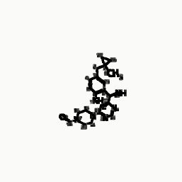 CC1(Cc2ccc(N)c(C(=N)c3cc(N4CCN(C=O)CC4)ncn3)c2)CC1